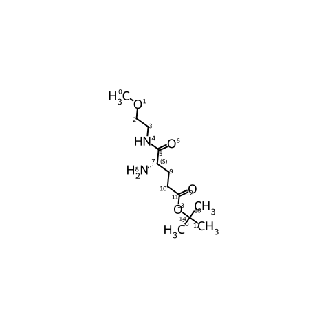 COCCNC(=O)[C@@H](N)CCC(=O)OC(C)(C)C